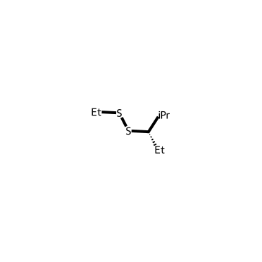 CCSS[C@@H](CC)C(C)C